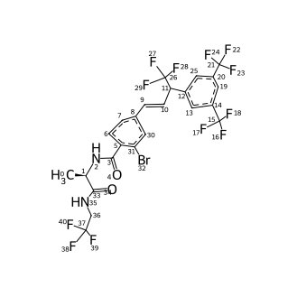 C[C@@H](NC(=O)c1ccc(/C=C/C(c2cc(C(F)(F)F)cc(C(F)(F)F)c2)C(F)(F)F)cc1Br)C(=O)NCC(F)(F)F